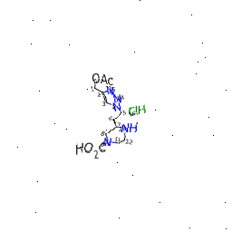 CC(=O)OCc1cn(CC[C@@H]2CN(C(=O)O)CCN2)nn1.Cl